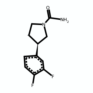 NC(=O)N1C[CH][C@H](c2ccc(F)c(F)c2)C1